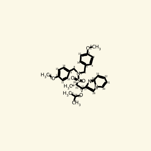 COc1ccc(CN(Cc2ccc(OC)cc2)S(=O)(=O)[C@@H](C)[C@@H](OC(C)C)c2cn3ccccc3n2)cc1